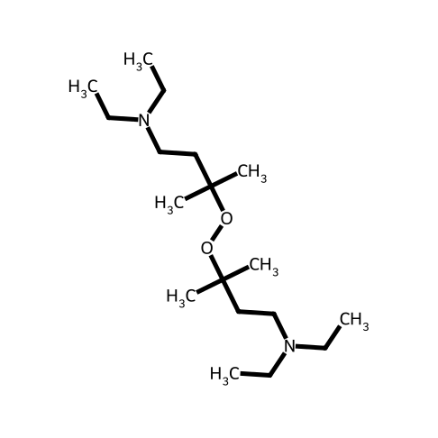 CCN(CC)CCC(C)(C)OOC(C)(C)CCN(CC)CC